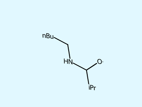 CCCCCNC([O])C(C)C